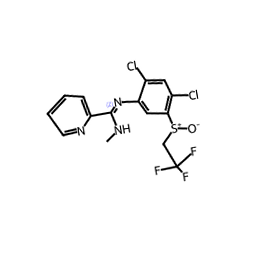 CN/C(=N\c1cc([S+]([O-])CC(F)(F)F)c(Cl)cc1Cl)c1ccccn1